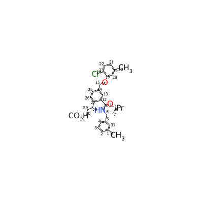 Cc1cccc([C@@H](CC(C)C)NC(=O)c2cc(COc3cc(C)ccc3Cl)ccc2CCC(=O)O)c1